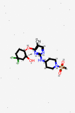 C[C@]1(O)CC(F)(F)CC[C@H]1Oc1nc(NC2CCN(S(C)(=O)=O)CC2)ncc1C#N